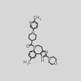 Cc1ccc2c(c1)-c1[nH]c(N3CCOCC3)nc1CCN2C(=O)C1CCN(c2ccc(C)nc2)CC1